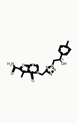 Cc1ccc([C@@H](O)Cn2nnc(Cn3cnc4oc(C(N)=O)c(C)c4c3=O)n2)cc1